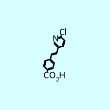 O=C(O)c1ccc(/C=C/c2ccc(Cl)nc2)cc1